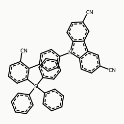 N#Cc1ccc2c(c1)c1cc(C#N)ccc1n2-c1ccc(-c2c(C#N)cccc2[Si](c2ccccc2)(c2ccccc2)c2ccccc2)cc1